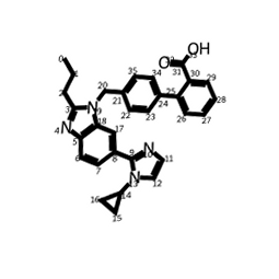 CCCc1nc2ccc(-c3nccn3C3CC3)cc2n1Cc1ccc(-c2ccccc2C(=O)O)cc1